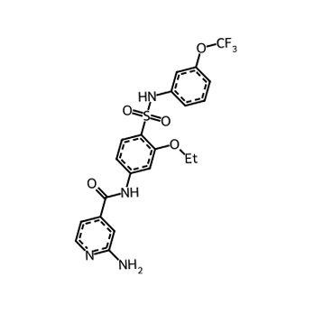 CCOc1cc(NC(=O)c2ccnc(N)c2)ccc1S(=O)(=O)Nc1cccc(OC(F)(F)F)c1